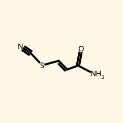 N#CSC=CC(N)=O